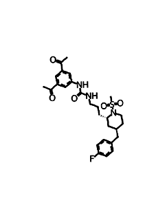 CC(=O)c1cc(NC(=O)NCCC[C@H]2C[C@H](Cc3ccc(F)cc3)CCN2S(C)(=O)=O)cc(C(C)=O)c1